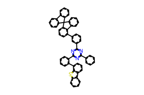 c1ccc(-c2nc(-c3cccc(-c4cccc5c4-c4ccccc4C54c5ccccc5-c5ccccc54)c3)nc(-c3ccccc3-c3cccc4c3sc3ccccc34)n2)cc1